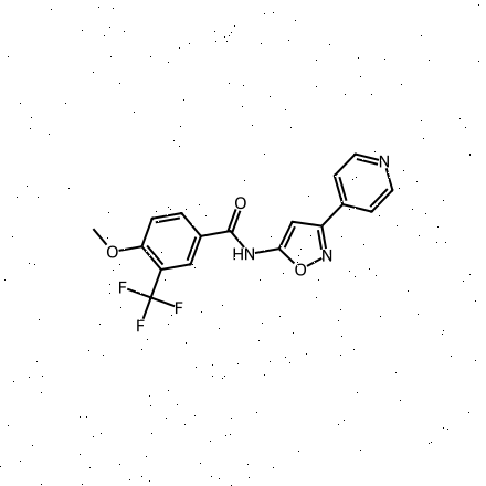 COc1ccc(C(=O)Nc2cc(-c3ccncc3)no2)cc1C(F)(F)F